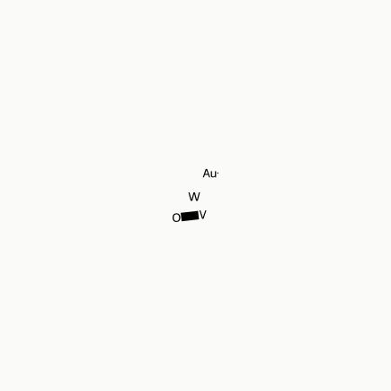 [Au].[O]=[V].[W]